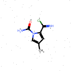 Cc1cc(C(=N)Cl)n(C(N)=O)c1